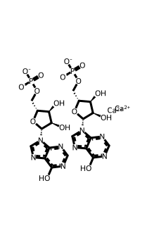 O=P([O-])([O-])OC[C@H]1O[C@@H](n2cnc3c(O)ncnc32)[C@H](O)[C@@H]1O.O=P([O-])([O-])OC[C@H]1O[C@@H](n2cnc3c(O)ncnc32)[C@H](O)[C@@H]1O.[Ca+2].[Ca+2]